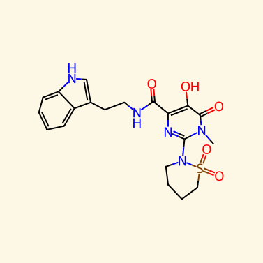 Cn1c(N2CCCCS2(=O)=O)nc(C(=O)NCCc2c[nH]c3ccccc23)c(O)c1=O